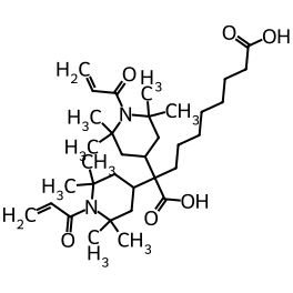 C=CC(=O)N1C(C)(C)CC(C(CCCCCCCC(=O)O)(C(=O)O)C2CC(C)(C)N(C(=O)C=C)C(C)(C)C2)CC1(C)C